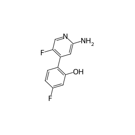 Nc1cc(-c2ccc(F)cc2O)c(F)cn1